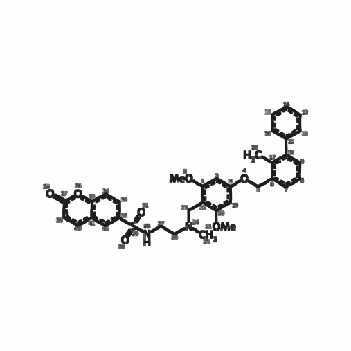 COc1cc(OCc2cccc(-c3ccccc3)c2C)cc(OC)c1CN(C)CCNS(=O)(=O)c1ccc2oc(=O)ccc2c1